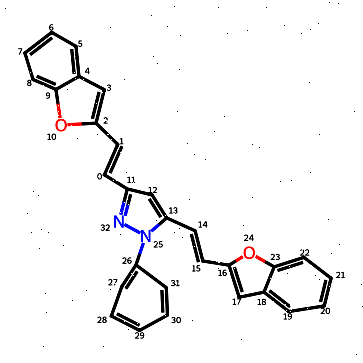 C(=C\c1cc2ccccc2o1)/c1cc(/C=C/c2cc3ccccc3o2)n(-c2ccccc2)n1